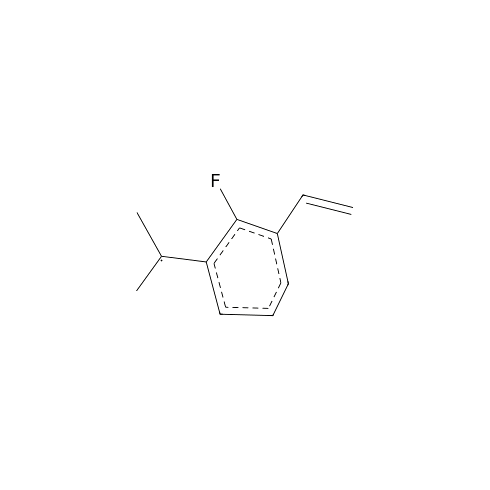 C=Cc1cccc([C](C)C)c1F